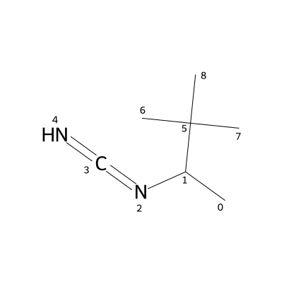 CC(N=C=N)C(C)(C)C